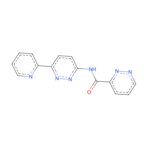 O=C(Nc1ccc(-c2ccccn2)nn1)c1cccnn1